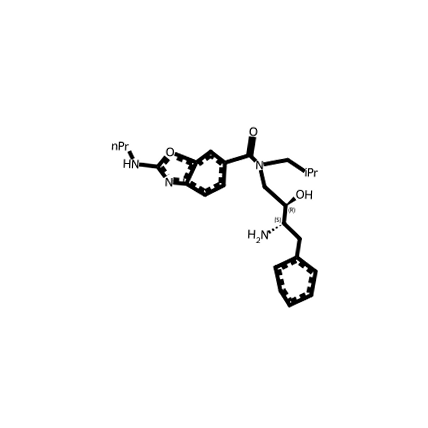 CCCNc1nc2ccc(C(=O)N(CC(C)C)C[C@@H](O)[C@@H](N)Cc3ccccc3)cc2o1